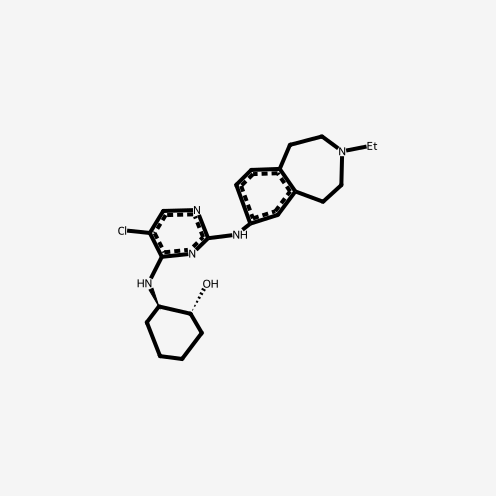 CCN1CCc2ccc(Nc3ncc(Cl)c(N[C@@H]4CCCC[C@H]4O)n3)cc2CC1